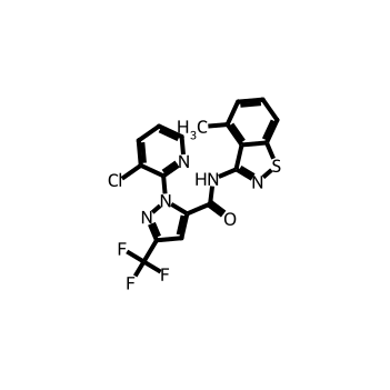 Cc1cccc2snc(NC(=O)c3cc(C(F)(F)F)nn3-c3ncccc3Cl)c12